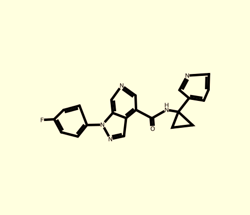 O=C(NC1(c2cccnc2)CC1)c1cncc2c1cnn2-c1ccc(F)cc1